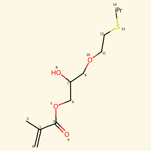 C=C(C)C(=O)OCC(O)COCCSC(C)C